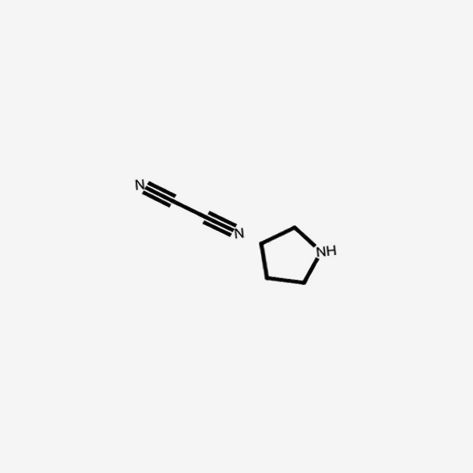 C1CCNC1.N#CC#N